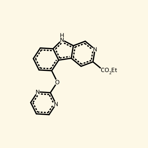 CCOC(=O)c1cc2c(cn1)[nH]c1cccc(Oc3ncccn3)c12